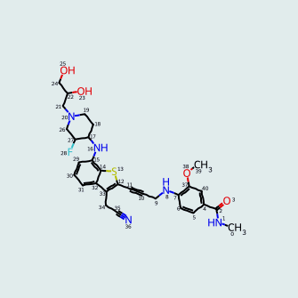 CNC(=O)c1ccc(NCC#Cc2sc3c(NC4CCN(CC(O)CO)CC4F)cccc3c2CC#N)c(OC)c1